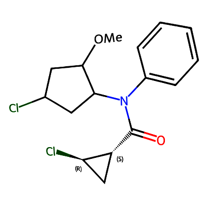 COC1CC(Cl)CC1N(C(=O)[C@@H]1C[C@H]1Cl)c1ccccc1